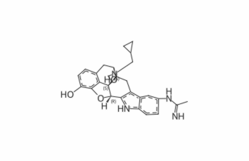 CC(=N)Nc1ccc2[nH]c3c(c2c1)C[C@@]1(O)C2Cc4ccc(O)c5c4[C@@]1(CCN2CC1CC1)[C@H]3O5